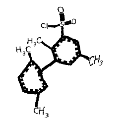 Cc1ccc(C)c(-c2cc(C)cc(S(=O)(=O)Cl)c2C)c1